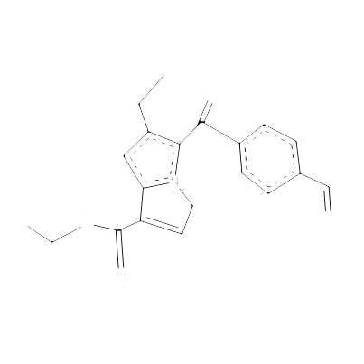 C=Cc1ccc(C(=O)c2c(CC)cc3n2CC=C3C(=O)OCC)cc1